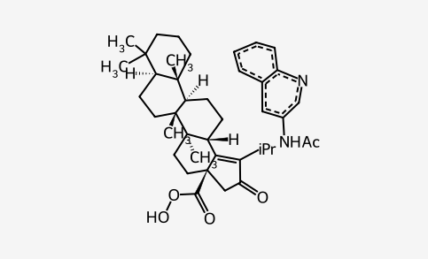 CC(=O)Nc1cnc2ccccc2c1.CC(C)C1=C2[C@H]3CC[C@@H]4[C@@]5(C)CCCC(C)(C)[C@@H]5CC[C@@]4(C)[C@]3(C)CC[C@@]2(C(=O)OO)CC1=O